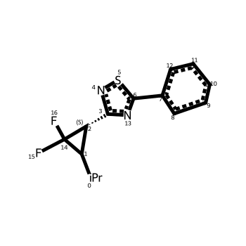 CC(C)C1[C@@H](c2nsc(-c3ccccc3)n2)C1(F)F